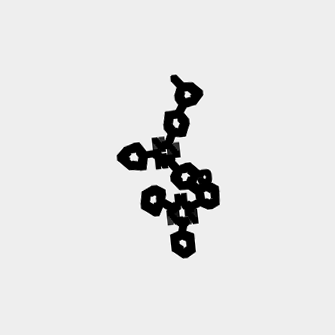 Cc1cccc(-c2ccc(-c3nc(-c4ccccc4)nc(-c4ccc5c(c4)oc4cccc(-c6nc(-c7ccccc7)nc(-c7ccccc7)n6)c45)n3)cc2)c1